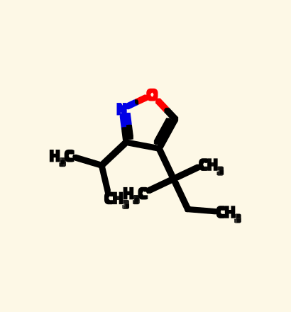 CCC(C)(C)c1conc1C(C)C